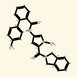 Cn1cc(NC(=O)c2ccccc2-c2ccc(C(F)(F)F)cc2)cc1C(=O)N1Cc2ccccc2C1